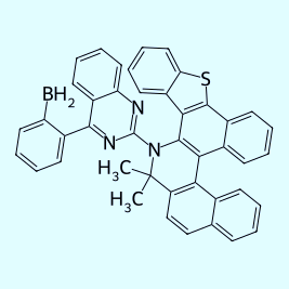 Bc1ccccc1-c1nc(N2c3c(c4ccccc4c4sc5ccccc5c34)-c3c(ccc4ccccc34)C2(C)C)nc2ccccc12